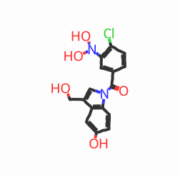 O=C(c1ccc(Cl)c(N(O)O)c1)n1cc(CO)c2cc(O)ccc21